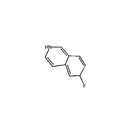 F[C]1C=CC2=CNC=CC2=C1